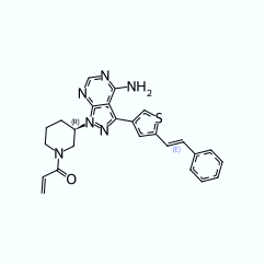 C=CC(=O)N1CCC[C@@H](n2nc(-c3csc(/C=C/c4ccccc4)c3)c3c(N)ncnc32)C1